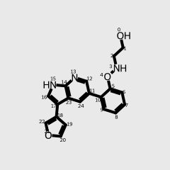 OCCNOc1ccccc1-c1cnc2[nH]cc(-c3ccoc3)c2c1